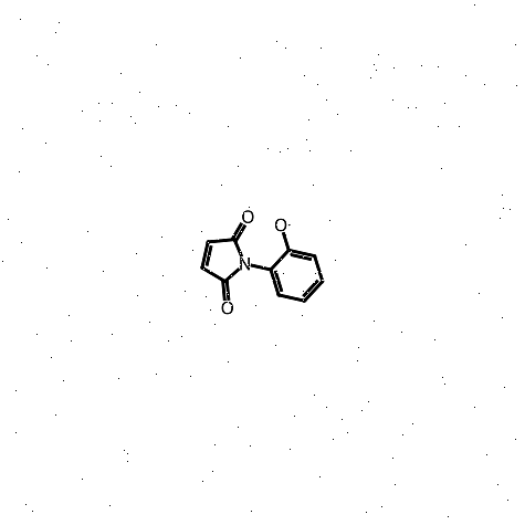 [O]c1ccccc1N1C(=O)C=CC1=O